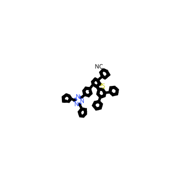 N#Cc1cccc(-c2ccc(-c3ccc(-c4nc(-c5ccccc5)nc(-c5ccccc5)n4)cc3)c3c2sc2c(-c4ccccc4)cc(-c4ccccc4)cc23)c1